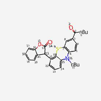 CCCCC(=O)c1ccc2c(c1)Sc1c(C3C(=O)Oc4ccccc43)cccc1N2CCCC